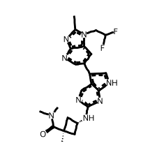 Cc1nc2ncc(-c3c[nH]c4nc(N[C@H]5C[C@](C)(C(=O)N(C)C)C5)ncc34)cc2n1CC(F)F